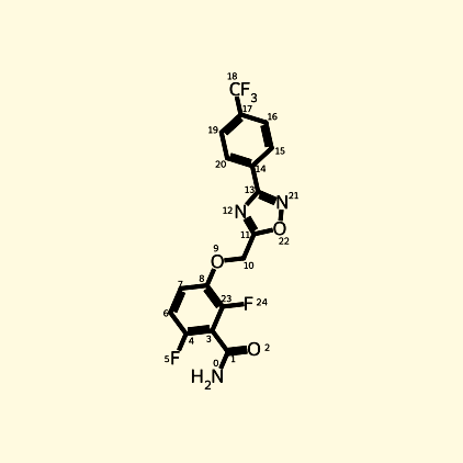 NC(=O)c1c(F)ccc(OCc2nc(-c3ccc(C(F)(F)F)cc3)no2)c1F